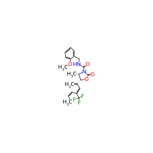 C=C(/C=C(\C=C/C)C(F)(F)F)[C@H]1OC(=O)N(C(=O)NCc2ccccc2OC)[C@H]1C